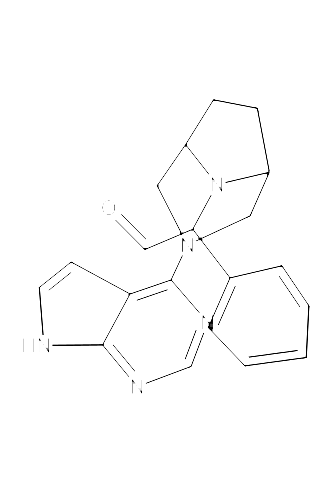 O=CC(c1ccccc1)N1C2CCC1CN(c1ncnc3[nH]ccc13)C2